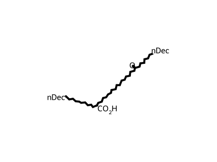 CCCCCCCCCCCCCCCCCCCCC(CCCCCCCCCCCCCCCCC(=O)CCCCCCCCCCCCCCCCC)C(=O)O